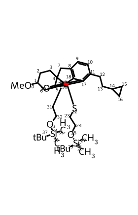 COC1CCC2(CC1)Cc1ccc(CCC3CC3)cc1C21N=C(SCCO[Si](C)(C)C(C)(C)C)N(CCO[Si](C)(C)C(C)(C)C)C1=O